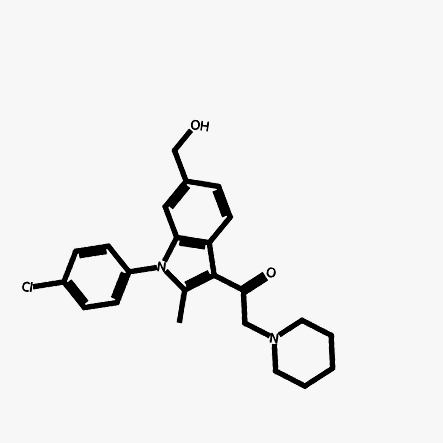 Cc1c(C(=O)CN2CCCCC2)c2ccc(CO)cc2n1-c1ccc(Cl)cc1